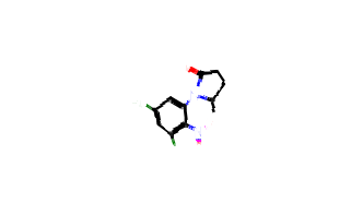 CC1CCC(=O)N1c1cc(Br)cc(F)c1[N+](=O)[O-]